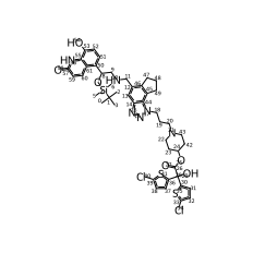 CC(C)(C)[Si](C)(C)OC(CNCc1cc2nnn(CCCN3CCC(OC(=O)C(O)(c4ccc(Cl)s4)c4ccc(Cl)s4)CC3)c2c2c1CCC2)c1ccc(O)c2[nH]c(=O)ccc12